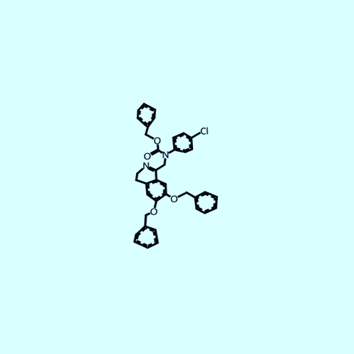 O=C(OCc1ccccc1)N(CC1=NCCc2cc(OCc3ccccc3)c(OCc3ccccc3)cc21)c1ccc(Cl)cc1